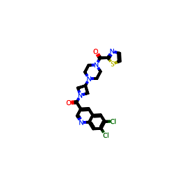 O=C(c1cnc2cc(Cl)c(Cl)cc2c1)N1CC(N2CCN(C(=O)c3nccs3)CC2)C1